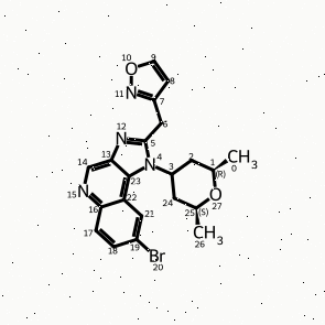 C[C@@H]1CC(n2c(Cc3ccon3)nc3cnc4ccc(Br)cc4c32)C[C@H](C)O1